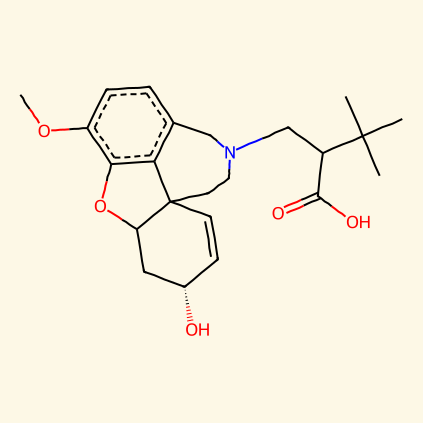 COc1ccc2c3c1OC1C[C@@H](O)C=CC31CCN(CC(C(=O)O)C(C)(C)C)C2